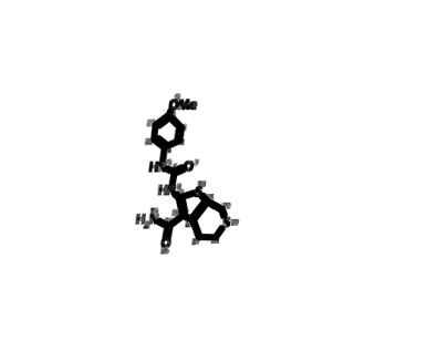 COc1ccc(NC(=O)Nc2sc3c(c2C(N)=O)CCSC3)cc1